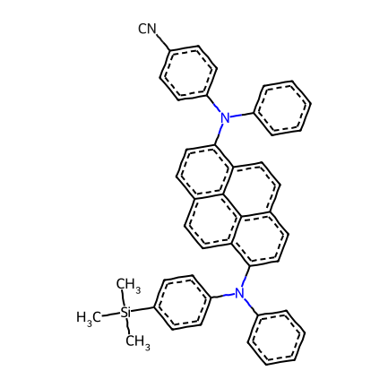 [C-]#[N+]c1ccc(N(c2ccccc2)c2ccc3ccc4c(N(c5ccccc5)c5ccc([Si](C)(C)C)cc5)ccc5ccc2c3c54)cc1